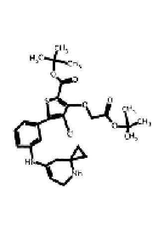 CC(C)(C)OC(=O)COc1c(C(=O)OC(C)(C)C)sc(-c2cccc(NC3=CCNC4(CC4)C3)c2)c1Cl